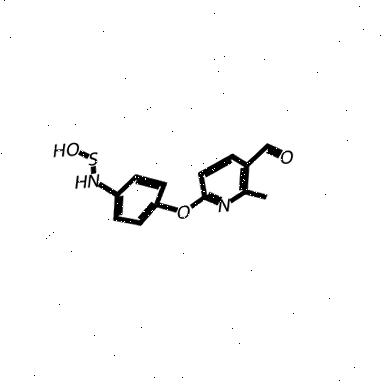 Cc1nc(Oc2ccc(NSO)cc2)ccc1C=O